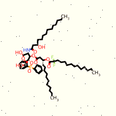 CCCCCCCCCCCCC(F)(F)C(=O)O[C@H](CCCCCCCCCCC)CC(=O)O[C@H]1[C@H](OP(=O)(c2ccccc2)c2ccccc2)[C@@H](CO)OC(O)[C@@H]1NC(=O)C[C@H](O)CCCCCCCCCCC